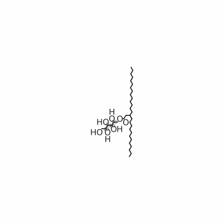 CCCCCCCCCCCCCCC(CCCCCCCCCCCC)CC(=O)OC[C@H](O)[C@@H](O)[C@H](O)[C@H](O)CO